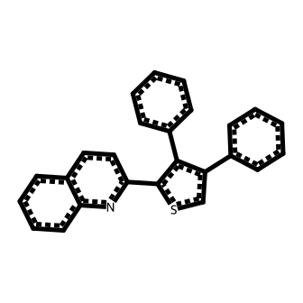 c1ccc(-c2csc(-c3ccc4ccccc4n3)c2-c2ccccc2)cc1